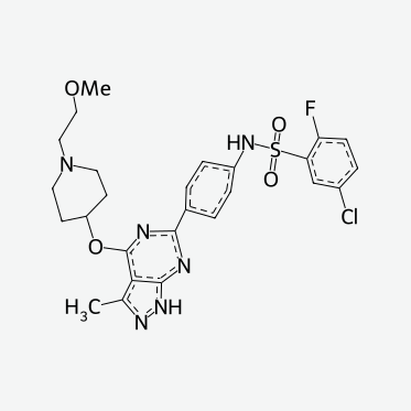 COCCN1CCC(Oc2nc(-c3ccc(NS(=O)(=O)c4cc(Cl)ccc4F)cc3)nc3[nH]nc(C)c23)CC1